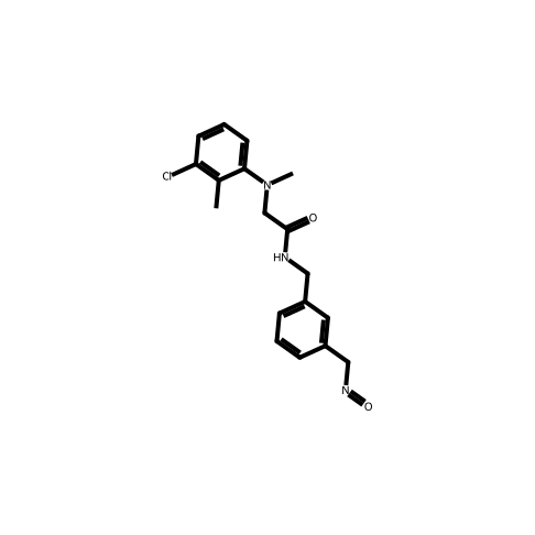 Cc1c(Cl)cccc1N(C)CC(=O)NCc1cccc(CN=O)c1